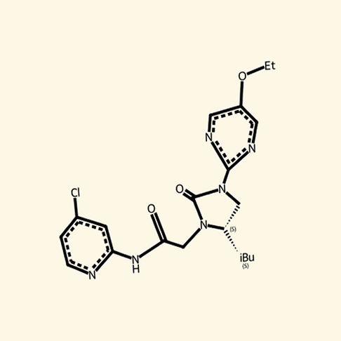 CCOc1cnc(N2C[C@H]([C@@H](C)CC)N(CC(=O)Nc3cc(Cl)ccn3)C2=O)nc1